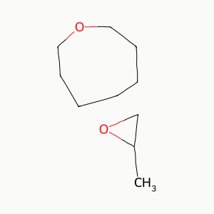 C1CCCOCCC1.CC1CO1